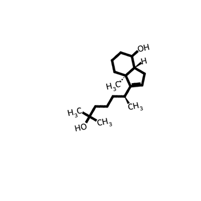 C[C@@H](CCCC(C)(C)O)C1=CC[C@H]2C(O)CCC[C@]12C